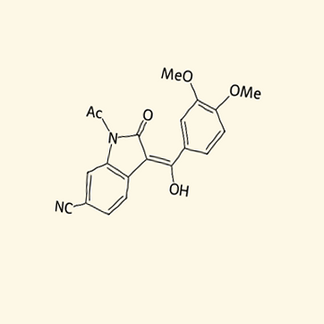 COc1ccc(C(O)=C2C(=O)N(C(C)=O)c3cc(C#N)ccc32)cc1OC